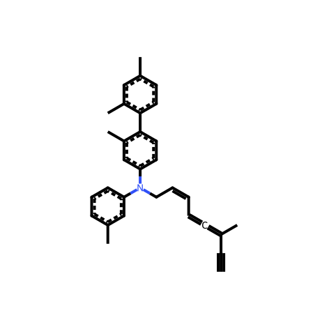 C#CC(C)=C=C/C=C\CN(c1cccc(C)c1)c1ccc(-c2ccc(C)cc2C)c(C)c1